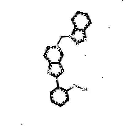 COc1ccccc1-c1cc2cn(Cn3nnc4ccccc43)ccc-2n1